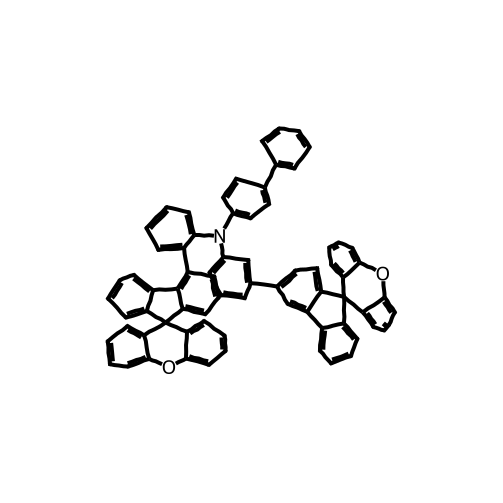 c1ccc(-c2ccc(N(c3cccc(-c4ccc5c(c4)-c4ccccc4C54c5ccccc5Oc5ccccc54)c3)c3ccccc3-c3cccc4c3-c3ccccc3C43c4ccccc4Oc4ccccc43)cc2)cc1